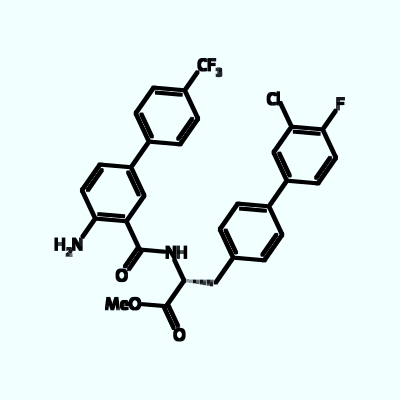 COC(=O)[C@@H](Cc1ccc(-c2ccc(F)c(Cl)c2)cc1)NC(=O)c1cc(-c2ccc(C(F)(F)F)cc2)ccc1N